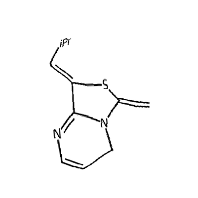 C=C1SC(=CC(C)C)C2=NC=CCN12